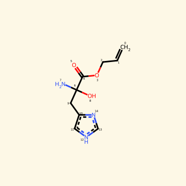 C=CCOC(=O)C(N)(O)Cc1c[nH]cn1